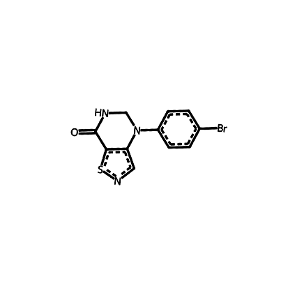 O=C1NCN(c2ccc(Br)cc2)c2cnsc21